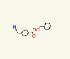 N#CCc1ccc(C(=O)OOCc2ccccc2)cc1